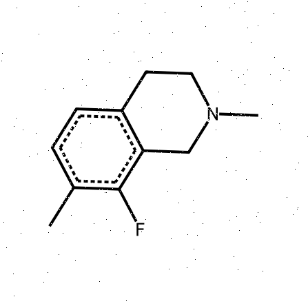 Cc1ccc2c(c1F)CN(C)CC2